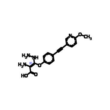 COc1ccc(C#Cc2ccc(O/C(NN)=C(/N)C(=O)O)cc2)cn1